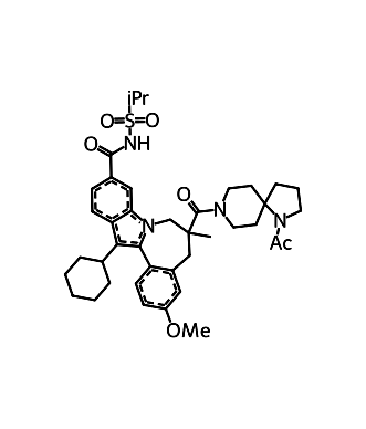 COc1ccc2c(c1)CC(C)(C(=O)N1CCC3(CCCN3C(C)=O)CC1)Cn1c-2c(C2CCCCC2)c2ccc(C(=O)NS(=O)(=O)C(C)C)cc21